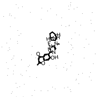 Cc1cc(=O)c2cc(-c3ncc(N(C)[C@H]4C[C@@H]5CC[C@@H](N5)[C@H]4F)nn3)c(O)cc2o1